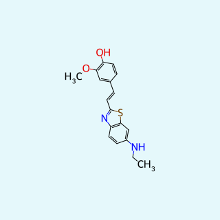 CCNc1ccc2nc(C=Cc3ccc(O)c(OC)c3)sc2c1